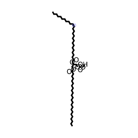 CCCCCCCCCC/C=C\CCCCCCCCCCCCCC(=O)OC(COC(=O)CCCCCCCCCCCCCCCCCCCCCCC)COP(=O)(O)OC